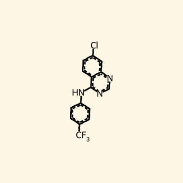 FC(F)(F)c1ccc(Nc2ncnc3cc(Cl)ccc23)cc1